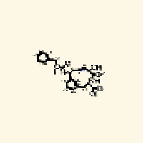 C[C@@H]1/C=C/C[C@H](NC(=O)OCc2ccccc2)c2cccc(c2)C[C@H](C(=O)O)NC1=O